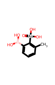 Cc1cccc(B(O)O)c1[As](=O)(O)O